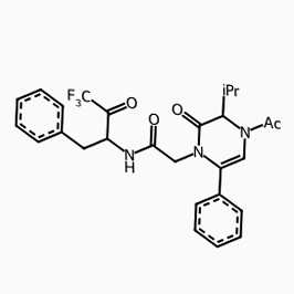 CC(=O)N1C=C(c2ccccc2)N(CC(=O)NC(Cc2ccccc2)C(=O)C(F)(F)F)C(=O)C1C(C)C